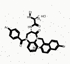 CCN[C@@H](C)C(=O)N[C@H]1CN(C(=O)c2ccc(C(C)=O)cc2)c2ccccc2N(Cc2c(OC)ccc3cc(Br)ccc23)C1=O.Cl